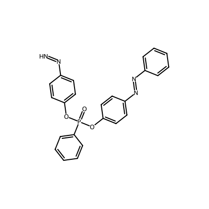 N=Nc1ccc(OP(=O)(Oc2ccc(N=Nc3ccccc3)cc2)c2ccccc2)cc1